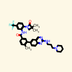 Cc1ccc(C(=O)Nc2cc(C(F)(F)F)ccc2N2CC(C)(C)C2=O)cc1-c1ccc2nc(NCCCN3CCCCC3)ncc2c1